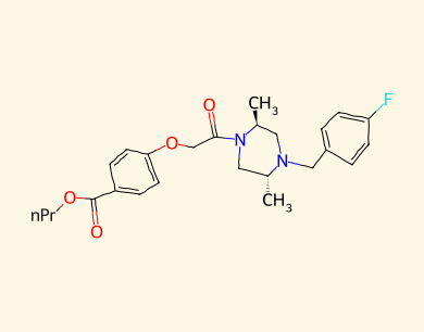 CCCOC(=O)c1ccc(OCC(=O)N2C[C@@H](C)N(Cc3ccc(F)cc3)C[C@@H]2C)cc1